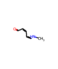 CN/C=C\C=C/C=O